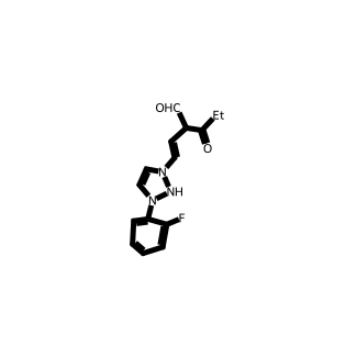 CCC(=O)C(C=O)/C=C/N1C=CN(c2ccccc2F)N1